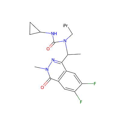 CC(C)CN(C(=O)NC1CC1)C(C)c1nn(C)c(=O)c2cc(F)c(F)cc12